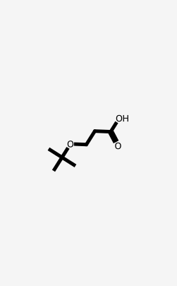 CC(C)(C)OCCC(=O)O